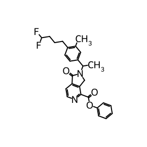 Cc1cc(C(C)N2Cc3c(ccnc3C(=O)Oc3ccccc3)C2=O)ccc1CCCC(F)F